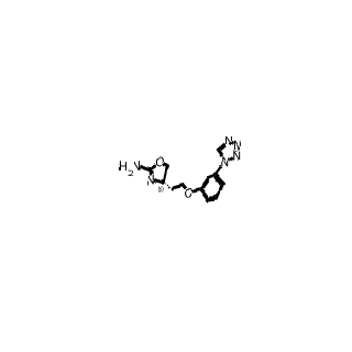 NC1=N[C@@H](CCOc2cccc(-n3cnnn3)c2)CO1